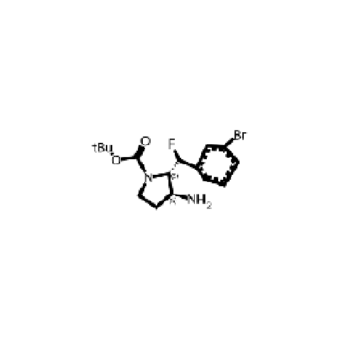 CC(C)(C)OC(=O)N1CC[C@H](N)[C@H]1C(F)c1cccc(Br)c1